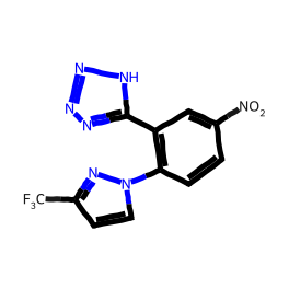 O=[N+]([O-])c1ccc(-n2ccc(C(F)(F)F)n2)c(-c2nnn[nH]2)c1